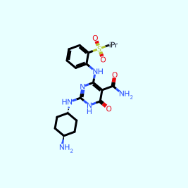 CC(C)S(=O)(=O)c1ccccc1Nc1nc(N[C@H]2CC[C@H](N)CC2)[nH]c(=O)c1C(N)=O